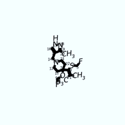 CC(C)=C(SCF)C1(OCF)CCN(Cc2c[nH]nc2C)CC1